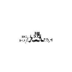 N.N.O=C(O)CN(CCCN(CC(=O)O)CC(=O)O)CC(=O)O